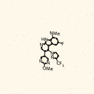 CNc1cc(F)cc2c1[nH]c1ncc(-c3cnc(OC)nc3)c(-n3ccc(C(F)(F)F)n3)c12